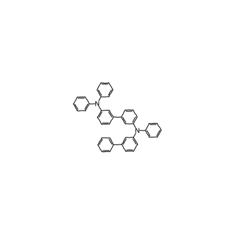 c1ccc(-c2cccc(N(c3ccccc3)c3cccc(-c4cccc(N(c5ccccc5)c5ccccc5)c4)c3)c2)cc1